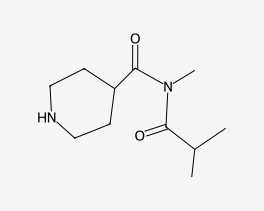 CC(C)C(=O)N(C)C(=O)C1CCNCC1